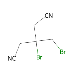 N#CCC(Br)(CBr)CC#N